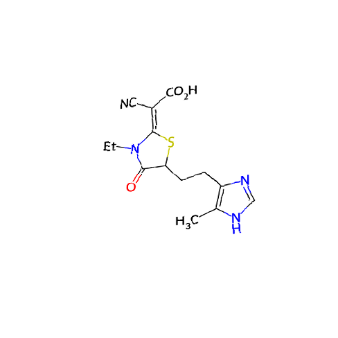 CCN1C(=O)C(CCc2nc[nH]c2C)S/C1=C(/C#N)C(=O)O